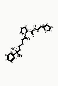 CC(C)C(C#N)(CCCCC(=O)N1CCC[C@@H]1C(=O)NCCc1cccs1)c1ccccc1